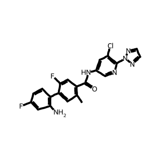 Cc1cc(-c2ccc(F)cc2N)c(F)cc1C(=O)Nc1cnc(-n2nccn2)c(Cl)c1